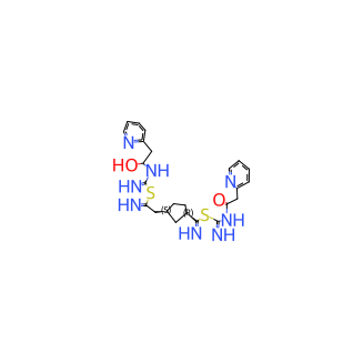 N=C(C[C@H]1CC[C@@H](C(=N)SC(=N)NC(=O)Cc2ccccn2)C1)SC(=N)NC(O)Cc1ccccn1